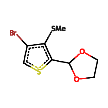 CSc1c(Br)csc1C1OCCO1